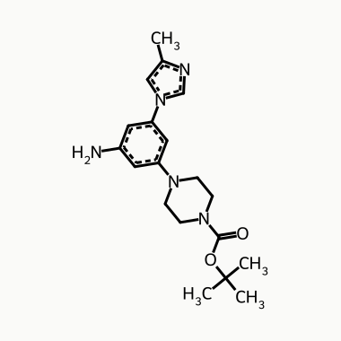 Cc1cn(-c2cc(N)cc(N3CCN(C(=O)OC(C)(C)C)CC3)c2)cn1